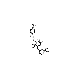 COc1cccc(Cc2cc(C)nn(CCOc3ccc(Br)cc3)c2=O)c1